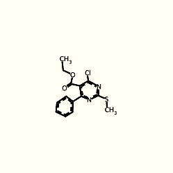 CCOC(=O)c1c(Cl)nc(SC)nc1-c1ccccc1